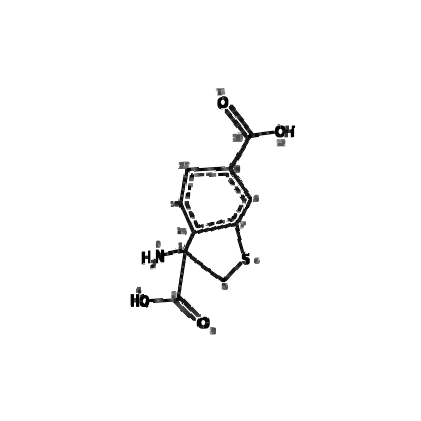 NC1(C(=O)O)CSc2cc(C(=O)O)ccc21